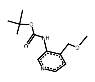 COCc1ccncc1NC(=O)OC(C)(C)C